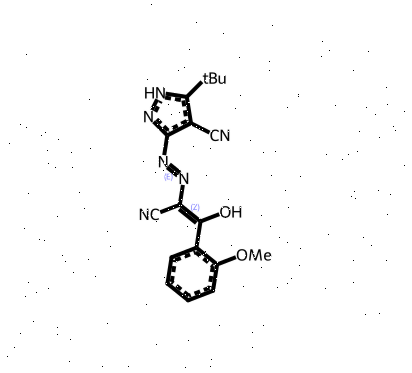 COc1ccccc1/C(O)=C(C#N)/N=N/c1n[nH]c(C(C)(C)C)c1C#N